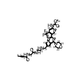 CC#CC(=O)NCC(=O)NCCNCc1cc2c(N3CCOCC3)nc(-c3cnc(NC(=O)OC)cc3C(F)(F)F)nn2c1